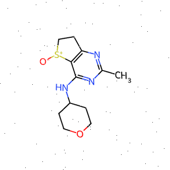 Cc1nc2c(c(NC3CCOCC3)n1)[S+]([O-])CC2